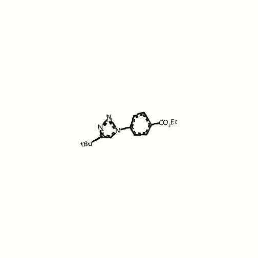 CCOC(=O)c1ccc(-n2cc(C(C)(C)C)nn2)cc1